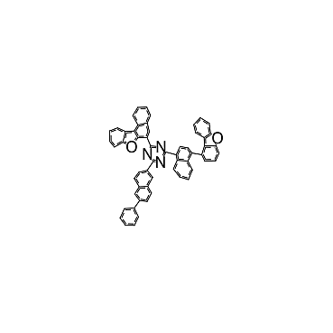 c1ccc(-c2ccc3cc(-c4nc(-c5ccc(-c6cccc7oc8ccccc8c67)c6ccccc56)nc(-c5cc6ccccc6c6c5oc5ccccc56)n4)ccc3c2)cc1